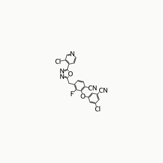 N#Cc1cc(Cl)cc(Oc2c(C#N)ccc(Cc3nnc(-c4ccncc4Cl)o3)c2F)c1